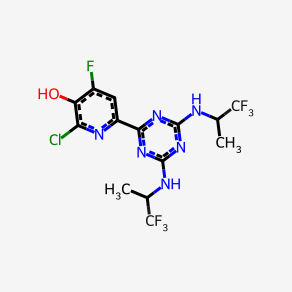 CC(Nc1nc(NC(C)C(F)(F)F)nc(-c2cc(F)c(O)c(Cl)n2)n1)C(F)(F)F